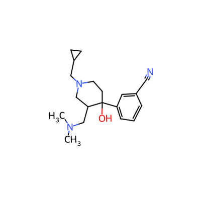 CN(C)CC1CN(CC2CC2)CCC1(O)c1cccc(C#N)c1